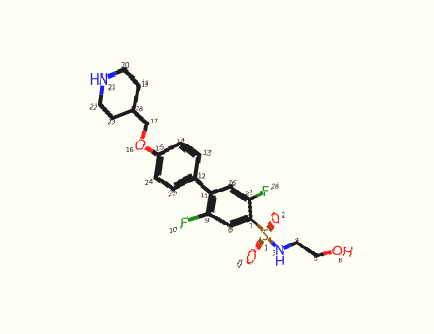 O=S(=O)(NCCO)c1cc(F)c(-c2ccc(OCC3CCNCC3)cc2)cc1F